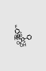 Cc1cc(F)ccc1S(=O)(=O)Nc1cc(-c2ccccc2)sc1C(=O)O